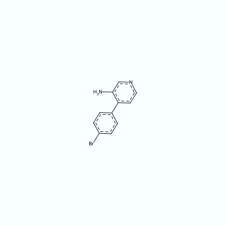 Nc1cnccc1-c1ccc(Br)cc1